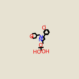 COc1cccc(-c2cc(COC(C)(C)C(O)O)nn2CC2CCOCC2)c1